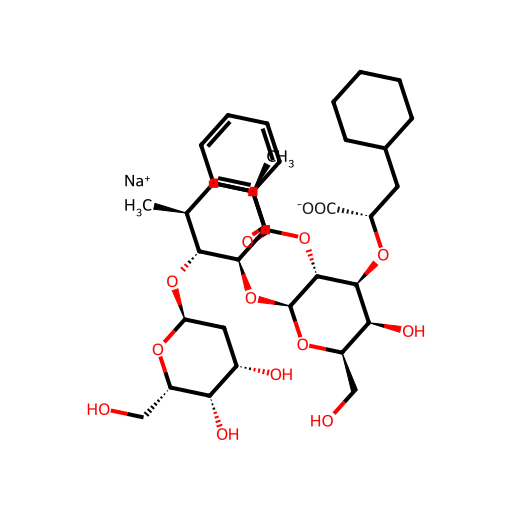 C[C@@H]1C[C@H](C)[C@@H](O[C@H]2C[C@H](O)[C@H](O)[C@H](CO)O2)[C@H](O[C@@H]2O[C@H](CO)[C@H](O)[C@H](O[C@@H](CC3CCCCC3)C(=O)[O-])[C@H]2OC(=O)c2ccccc2)C1.[Na+]